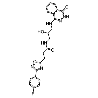 O=C(CCc1nc(-c2ccc(F)cc2)no1)NCC(O)CNc1n[nH]c(=O)c2ccccc12